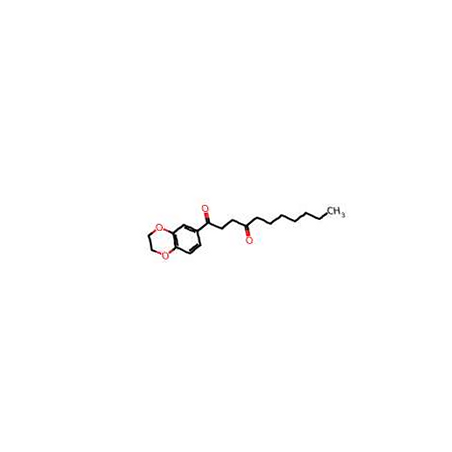 CCCCCCCC(=O)CCC(=O)c1ccc2c(c1)OCCO2